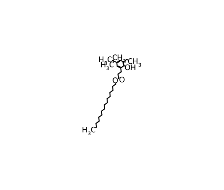 CCCCCCCCCCCCCCCCOC(=O)CCc1cc(C(C)(C)C)cc(CC)c1O